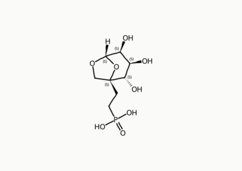 O=P(O)(O)CC[C@@]12CO[C@@H](O1)[C@@H](O)[C@@H](O)[C@@H]2O